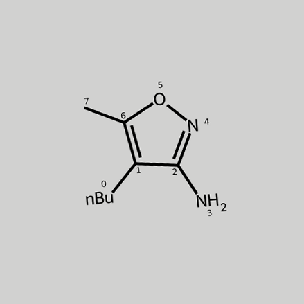 CCCCc1c(N)noc1C